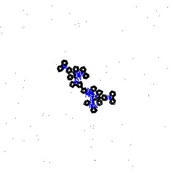 c1ccc([Si](c2ccccc2)(c2ccc(-n3c4ccccc4c4ccccc43)cc2)c2cc(-n3c4ccccc4c4cc(-c5ccc6nc7n(-c8nc(-n9c%10ccccc%10n%10c%11ccccc%11nc9%10)cc([Si](c9ccccc9)(c9ccccc9)c9ccc(-n%10c%11ccccc%11c%11ccccc%11%10)cc9)n8)c8ccccc8n7c6c5)ccc43)nc(-n3c4ccccc4c4ccccc43)n2)cc1